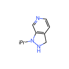 CC(C)N1NCc2ccncc21